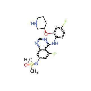 CS(C)(=O)=Nc1cc(F)c2c(Nc3ccc(F)cc3O[C@@H]3CCCNC3)ncnc2c1